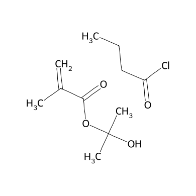 C=C(C)C(=O)OC(C)(C)O.CCCC(=O)Cl